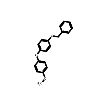 COc1ccc(Oc2ccc(OCc3ccccc3)cc2)cc1